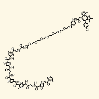 Cc1sc2c(c1C)C(c1ccc(Cl)cc1)=N[C@@H](CC(=O)Nc1ccc(OCCOCCOCCOCCOCCOCCOCCOCCNC(=O)CCNC(=O)c3nc(NC(=O)c4nc(NC(=O)CCNC(=O)c5cc(NC(=O)c6nc(NC(=O)CCNC(=O)c7cc(NC(=O)c8nccn8C)cn7C)cn6C)cn5C)cn4C)cn3C)cc1)c1nnc(C)n1-2